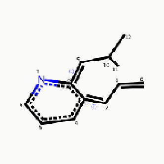 C=C/C=c1/cccn/c1=C/C(C)C